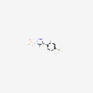 CS(=O)(=O)n1cc(-c2ccc(C(F)(F)F)cc2)nn1